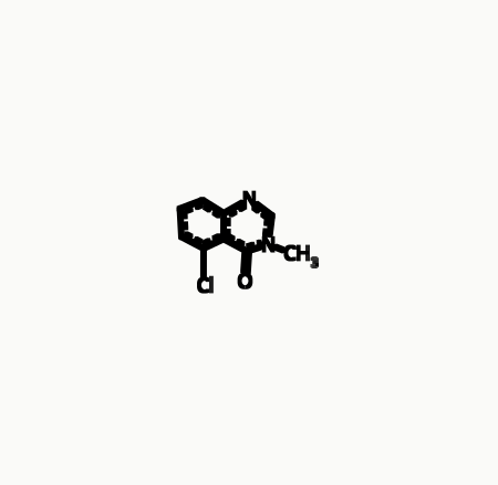 Cn1cnc2cccc(Cl)c2c1=O